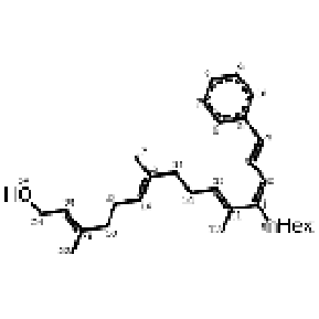 CCCCCCC(=CC=Cc1ccccc1)C(C)=CCCC(C)=CCCC(C)=CCO